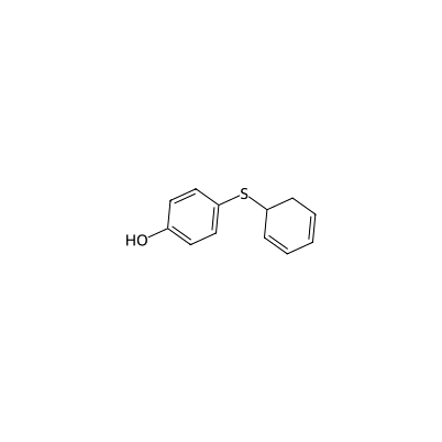 Oc1ccc(SC2C=CC=CC2)cc1